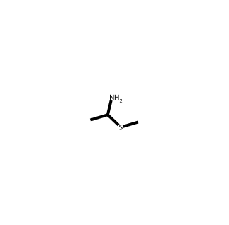 CS[C](C)N